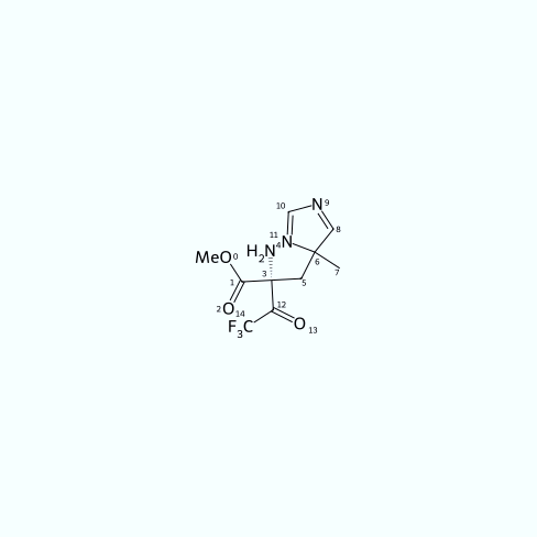 COC(=O)[C@@](N)(CC1(C)C=NC=N1)C(=O)C(F)(F)F